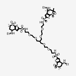 CCN[C@H]1C[C@H](C)S(=O)(=O)c2sc(S(=O)(=O)NCCOCCOCC(COCCOCCNS(=O)(=O)c3cc4c(s3)S(=O)(=O)[C@@H](C)C[C@@H]4NCC)COCCOCCNS(=O)(=O)c3cc4c(s3)S(=O)(=O)C(C)(C)C[C@]4(C)NCC)cc21